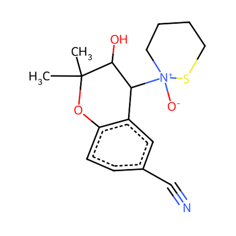 CC1(C)Oc2ccc(C#N)cc2C([N+]2([O-])CCCCS2)C1O